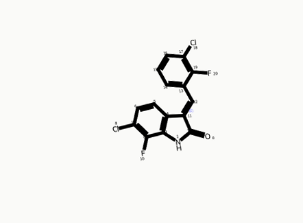 O=C1Nc2c(ccc(Cl)c2F)/C1=C\c1cccc(Cl)c1F